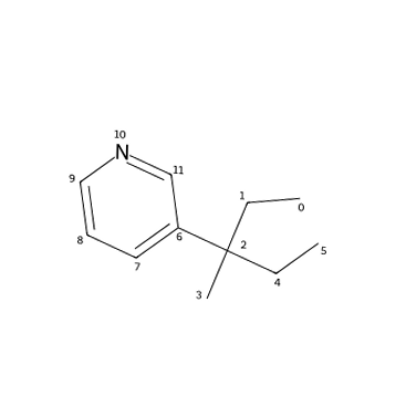 CCC(C)(CC)c1cccnc1